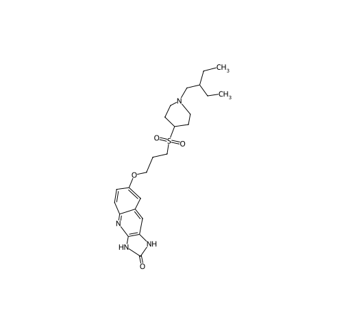 CCC(CC)CN1CCC(S(=O)(=O)CCCOc2ccc3nc4[nH]c(=O)[nH]c4cc3c2)CC1